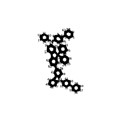 c1ccc(-c2ccc(N(c3ccccc3)c3ccc4c(c3)C(c3ccccc3)(c3ccccc3)c3cc(-c5ccc6c(c5)c5ccccc5n6-c5ccc(-c6ccccc6)cc5)ccc3-4)cc2)cc1